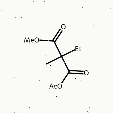 CCC(C)(C(=O)OC)C(=O)OC(C)=O